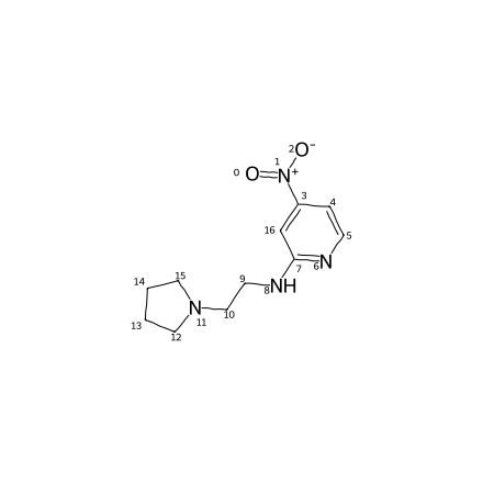 O=[N+]([O-])c1ccnc(NCCN2CCCC2)c1